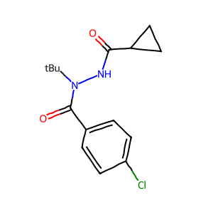 CC(C)(C)N(NC(=O)C1CC1)C(=O)c1ccc(Cl)cc1